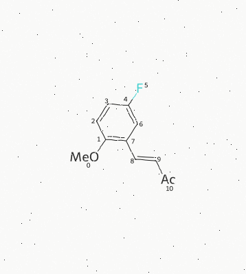 COc1ccc(F)cc1C=CC(C)=O